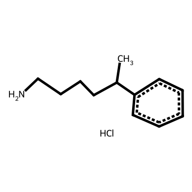 CC(CCCCN)c1ccccc1.Cl